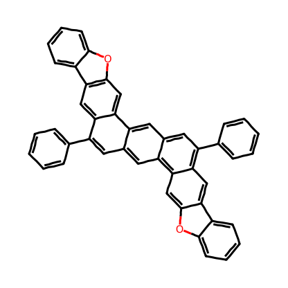 c1ccc(-c2cc3cc4c(cc(-c5ccccc5)c5cc6c(cc54)oc4ccccc46)cc3c3cc4oc5ccccc5c4cc23)cc1